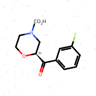 O=C(c1cccc(F)c1)[C@@H]1CN(C(=O)O)CCO1